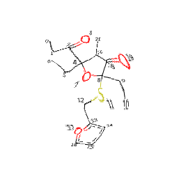 CCC(=O)C1(CC)OC(CC)(SCc2ccco2)C(=O)C1C